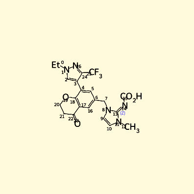 CCn1cc(-c2cc(Cn3ccn(C)/c3=N/C(=O)O)cc3c2OCCC3=O)c(C(F)(F)F)n1